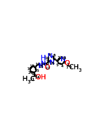 CCOc1ccc(-c2cncc(C(=O)N/N=C/c3cccc(C(C)O)c3)n2)cn1